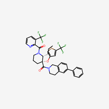 CCC[C@H]1N(C(=O)c2ncccc2C(F)(F)F)CCC[C@]1(Oc1csc(C(F)(F)F)c1)C(=O)N1CCc2cc(-c3ccccc3)ccc2C1